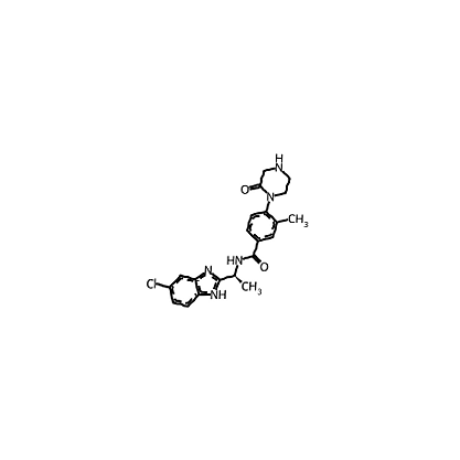 Cc1cc(C(=O)N[C@@H](C)c2nc3cc(Cl)ccc3[nH]2)ccc1N1CCNCC1=O